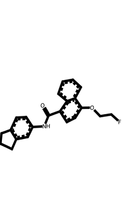 O=C(Nc1ccc2c(c1)CCC2)c1ccc(OCCF)c2ccccc12